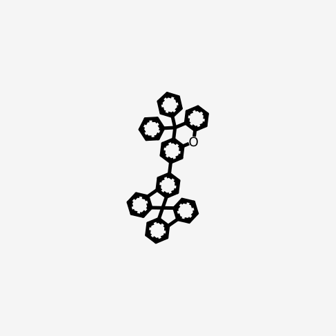 c1ccc(C2(c3ccccc3)c3ccccc3Oc3cc(-c4ccc5c(c4)-c4ccccc4C54c5ccccc5-c5ccccc54)ccc32)cc1